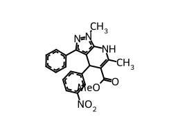 COC(=O)C1=C(C)Nc2c(c(-c3ccccc3)nn2C)C1c1cccc([N+](=O)[O-])c1